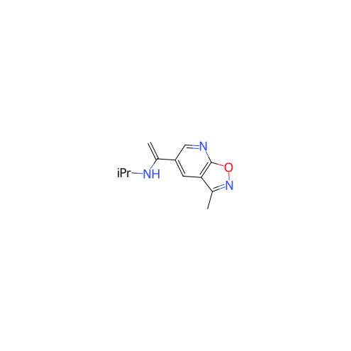 C=C(NC(C)C)c1cnc2onc(C)c2c1